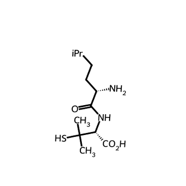 CC(C)CC[C@H](N)C(=O)N[C@H](C(=O)O)C(C)(C)S